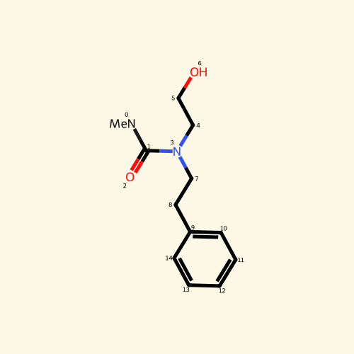 CNC(=O)N(CCO)CCc1ccccc1